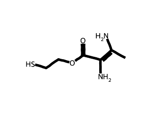 C/C(N)=C(\N)C(=O)OCCS